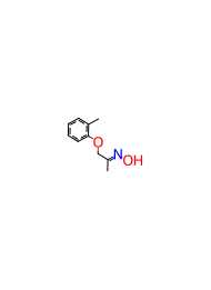 CC(COc1ccccc1C)=NO